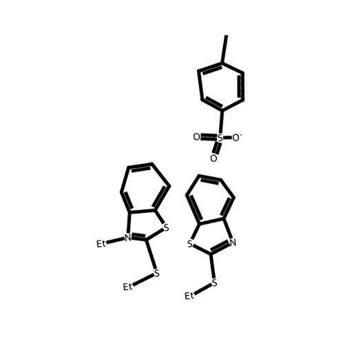 CCSc1nc2ccccc2s1.CCSc1sc2ccccc2[n+]1CC.Cc1ccc(S(=O)(=O)[O-])cc1